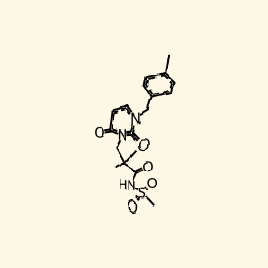 Cc1ccc(Cn2ccc(=O)n(CC(C)(C)C(=O)NS(C)(=O)=O)c2=O)cc1